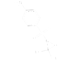 CC1(C)ON1S(=O)(=O)c1ccc([N+](=O)[O-])cc1